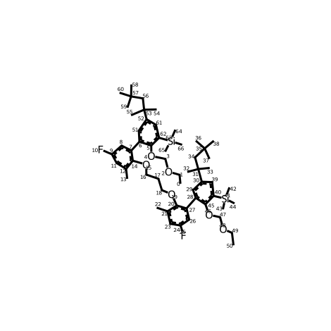 CCOCOc1c(-c2cc(F)cc(C)c2OCCCOc2c(C)cc(F)cc2-c2cc(C(C)(C)CC(C)(C)C)cc([Si](C)(C)C)c2OCOCC)cc(C(C)(C)CC(C)(C)C)cc1[Si](C)(C)C